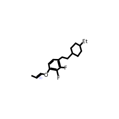 C/C=C/Oc1ccc(CCC2CCC(CC)CC2)c(F)c1F